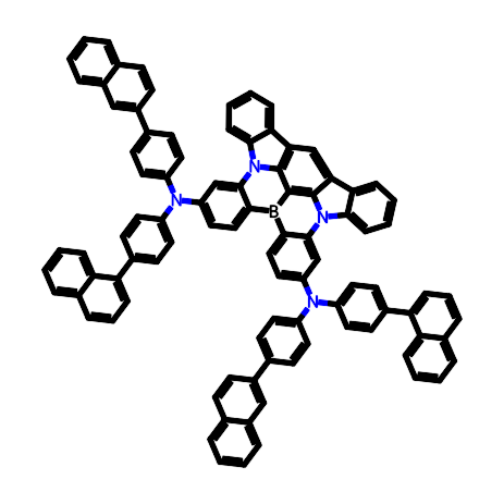 c1ccc2cc(-c3ccc(N(c4ccc(-c5cccc6ccccc56)cc4)c4ccc5c(c4)-n4c6ccccc6c6cc7c8ccccc8n8c7c(c64)B5c4ccc(N(c5ccc(-c6ccc7ccccc7c6)cc5)c5ccc(-c6cccc7ccccc67)cc5)cc4-8)cc3)ccc2c1